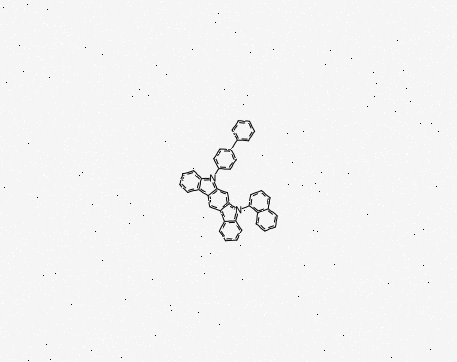 c1ccc(-c2ccc(-n3c4ccccc4c4cc5c6ccccc6n(-c6cccc7ccccc67)c5cc43)cc2)cc1